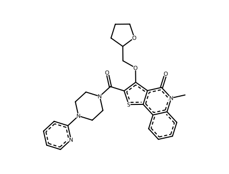 Cn1c(=O)c2c(OCC3CCCO3)c(C(=O)N3CCN(c4ccccn4)CC3)sc2c2ccccc21